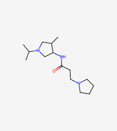 CC1CN(C(C)C)CC1NC(=O)CCN1CCCC1